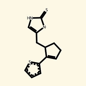 S=C1[N]C(CC2CCC=C2c2cccs2)=CN1